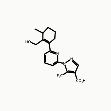 CC1CCCC(c2cccc(-n3ncc(C(=O)O)c3C(F)(F)F)n2)=C1CO